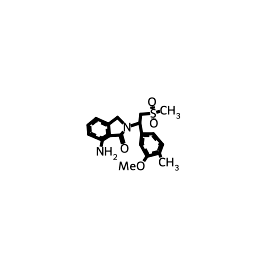 COc1cc(C(CS(C)(=O)=O)N2Cc3cccc(N)c3C2=O)ccc1C